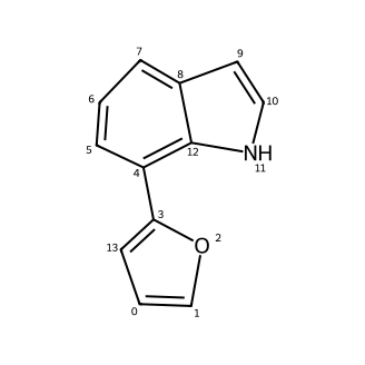 c1coc(-c2cccc3cc[nH]c23)c1